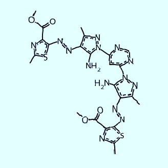 COC(=O)c1nc(C)sc1/N=N/c1c(C)nn(-c2cc(-n3nc(C)c(/N=N/c4sc(C)nc4C(=O)OC)c3N)ncn2)c1N